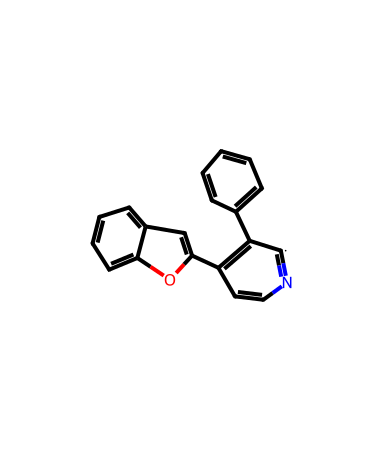 [c]1nccc(-c2cc3ccccc3o2)c1-c1ccccc1